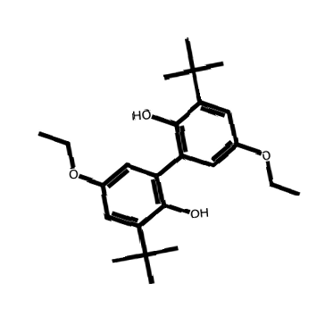 CCOc1cc(-c2cc(OCC)cc(C(C)(C)C)c2O)c(O)c(C(C)(C)C)c1